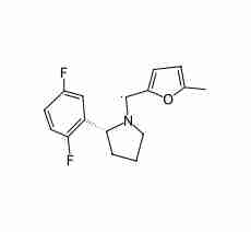 Cc1ccc([CH]N2CCC[C@@H]2c2cc(F)ccc2F)o1